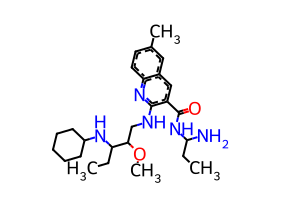 CCC(N)NC(=O)c1cc2cc(C)ccc2nc1NCC(OC)C(CC)NC1CCCCC1